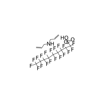 C=CCNCC=C.O=S(=O)(O)C(F)(F)C(F)(F)C(F)(F)C(F)(F)C(F)(F)C(F)(F)C(F)(F)C(F)(F)C(F)(F)F